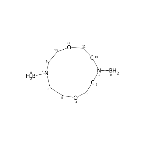 BN1CCOCCN(B)CCOCC1